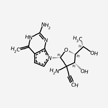 C#CC1(N)[C@@H](O)[C@@H]([C@H](C)O)O[C@H]1n1ccc2c1N=C(N)NC2=C